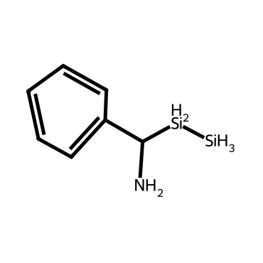 NC([SiH2][SiH3])c1ccccc1